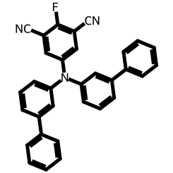 N#Cc1cc(N(c2cccc(-c3ccccc3)c2)c2cccc(-c3ccccc3)c2)cc(C#N)c1F